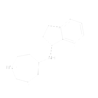 c1ccc2c(c1)CCC2NC1CCCNCC1